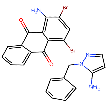 Nc1c(Br)cc(Br)c2c1C(=O)c1ccccc1C2=O.Nc1ccnn1Cc1ccccc1